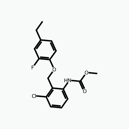 CCc1ccc(OCc2c(Cl)cccc2NC(=O)OC)c(F)c1